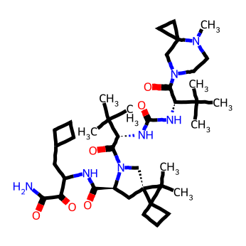 CN1CCN(C(=O)[C@@H](NC(=O)N[C@H](C(=O)N2C[C@]3(C[C@H]2C(=O)NC(CC2CCC2)C(=O)C(N)=O)C(C)(C)C32CCC2)C(C)(C)C)C(C)(C)C)CC12CC2